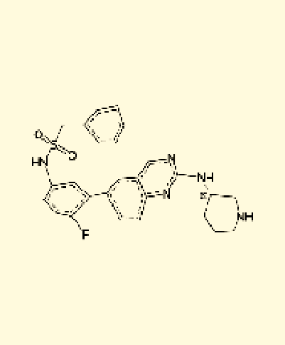 O=S(=O)(Cc1ccccc1)Nc1ccc(F)c(-c2ccc3nc(N[C@H]4CCCNC4)ncc3c2)c1